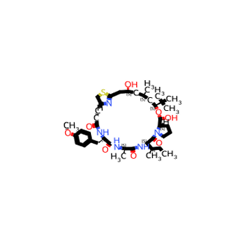 CC[C@H](C)[C@@H]1NC(=O)[C@H](C)NC(=O)[C@H](Cc2ccc(OC)cc2)NC(=O)CC[C@@H]2CSC(=N2)C[C@@H](O)C[C@H](C)C[C@@H](C(C)(C)C)OC(O)[C@@H]2CCCN2C1=O